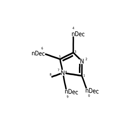 CCCCCCCCCCC1=NC(CCCCCCCCCC)=C(CCCCCCCCCC)[N+]1(C)CCCCCCCCCC